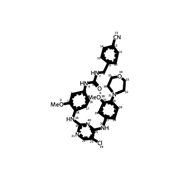 COc1cc(NC(=O)NCc2ccc(C#N)cc2)ccc1Nc1ncc(Cl)c(Nc2ccc(N3CCOCC3)c(OC)c2)n1